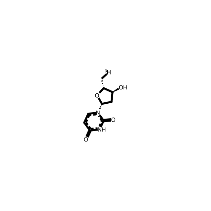 [3H]C[C@H]1O[C@@H](n2ccc(=O)[nH]c2=O)C[C@@H]1O